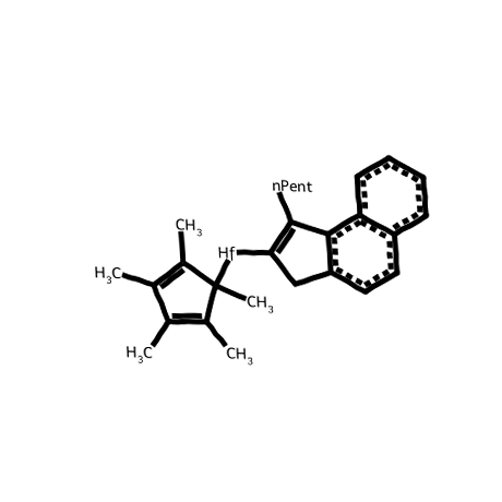 CCCCCC1=[C]([Hf][C]2(C)C(C)=C(C)C(C)=C2C)Cc2ccc3ccccc3c21